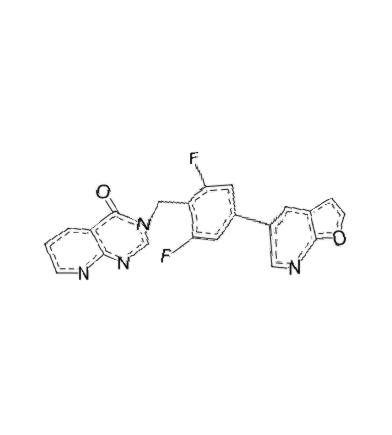 O=c1c2cccnc2ncn1Cc1c(F)cc(-c2cnc3occc3c2)cc1F